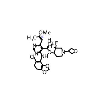 C=C(OC1CCN(C2COC2)CC1(F)F)c1c(/C=C(\C)OC)ncnc1NC1=C(Cl)CCC2=C1OCO2